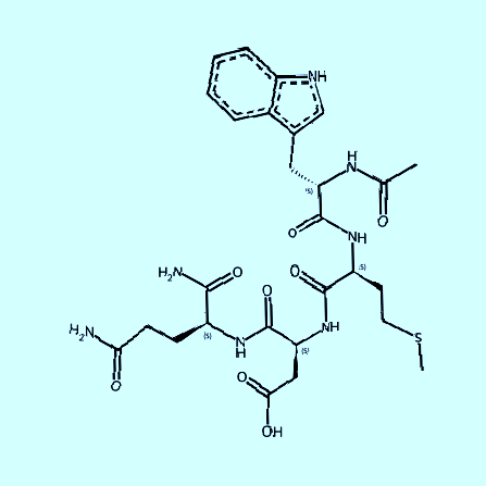 CSCC[C@H](NC(=O)[C@H](Cc1c[nH]c2ccccc12)NC(C)=O)C(=O)N[C@@H](CC(=O)O)C(=O)N[C@@H](CCC(N)=O)C(N)=O